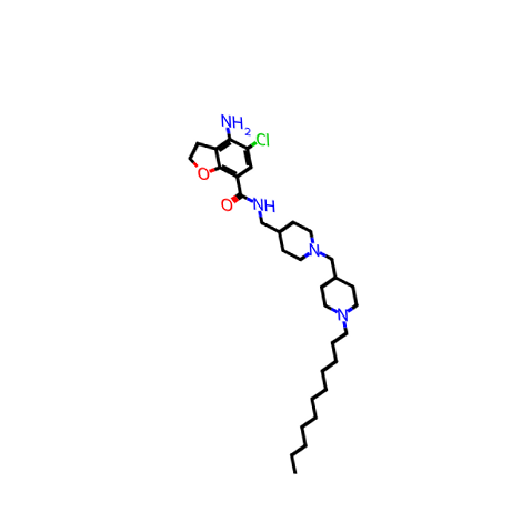 CCCCCCCCCCCN1CCC(CN2CCC(CNC(=O)c3cc(Cl)c(N)c4c3OCC4)CC2)CC1